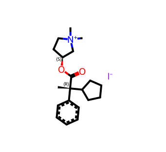 C[C@](C(=O)O[C@H]1CC[N+](C)(C)C1)(c1ccccc1)C1CCCC1.[I-]